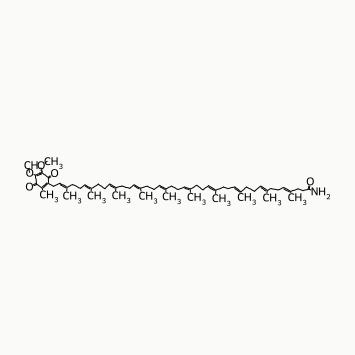 COC1=C(OC)C(=O)C(C/C=C(\C)CC/C=C(\C)CC/C=C(\C)CC/C=C(\C)CC/C=C(\C)CC/C=C(\C)CC/C=C(\C)CC/C=C(\C)CC/C=C(\C)CC/C=C(\C)CCC(N)=O)=C(C)C1=O